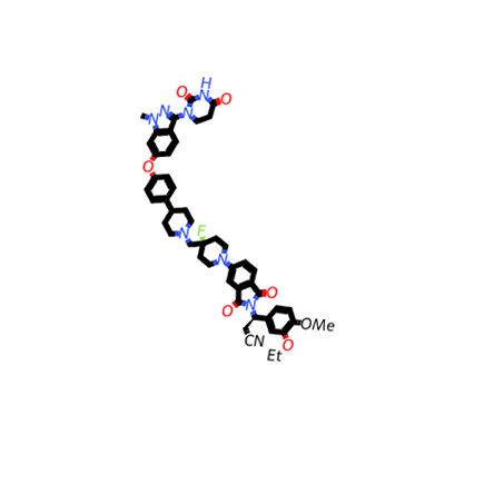 CCOc1cc([C@@H](CC#N)N2C(=O)c3ccc(N4CCC(F)(CN5CCC(c6ccc(Oc7ccc8c(N9CCC(=O)NC9=O)nn(C)c8c7)cc6)CC5)CC4)cc3C2=O)ccc1OC